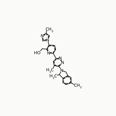 Cc1ccc2c(c1)CN(c1nnc(-c3ccc(-n4cnc(C)c4)c(CO)n3)cc1C)C2C